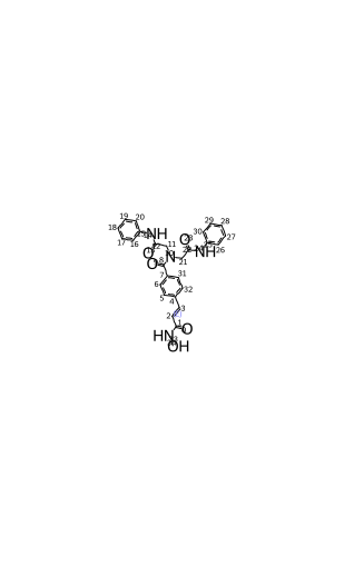 O=C(/C=C/c1ccc(C(=O)N(CC(=O)Nc2ccccc2)CC(=O)Nc2ccccc2)cc1)NO